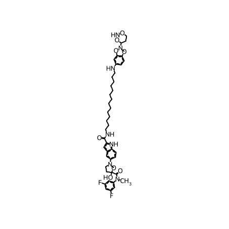 CN(C(=O)C1(O)CCN(c2ccc3[nH]c(C(=O)NCCCCCCCCCCCCCCNc4ccc5c(c4)ON(C4CCONO4)O5)cc3c2)O1)c1cc(F)cc(F)c1